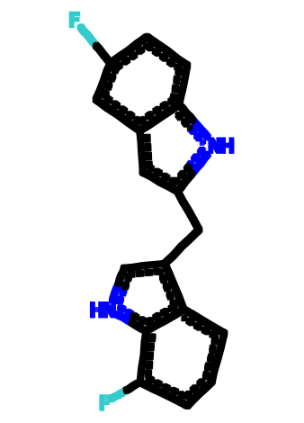 Fc1ccc2[nH]c(Cc3c[nH]c4c(F)cccc34)cc2c1